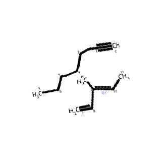 C#CCCCCC.C=C/C(C)=C/C